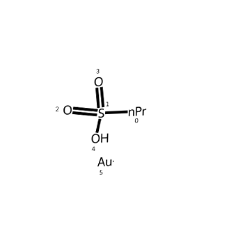 CCCS(=O)(=O)O.[Au]